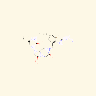 C#CCN(C(=O)NCCCC)N1CC(=O)N2CC(=O)N(Cc3cccc4sc(N)nc34)C[C@@H]21